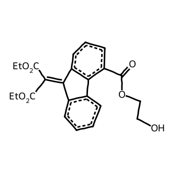 CCOC(=O)C(C(=O)OCC)=C1c2ccccc2-c2c(C(=O)OCCO)cccc21